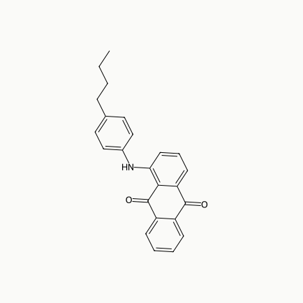 CCCCc1ccc(Nc2cccc3c2C(=O)c2ccccc2C3=O)cc1